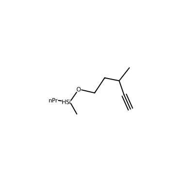 C#CC(C)CCO[SiH](C)CCC